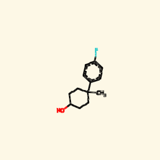 CC1(c2ccc(F)cc2)CCC(O)CC1